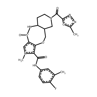 Cc1nnc(C(=O)N2CCC3N[S+]([O-])c4cn(C)c(C(=O)Nc5ccc(F)c(C)c5)c4OCC3C2)o1